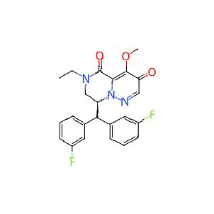 CCN1C[C@H](C(c2cccc(F)c2)c2cccc(F)c2)n2ncc(=O)c(OC)c2C1=O